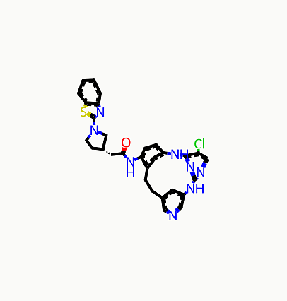 O=C(C[C@@H]1CCN(c2nc3ccccc3s2)C1)Nc1ccc2cc1CCc1cncc(c1)Nc1ncc(Cl)c(n1)N2